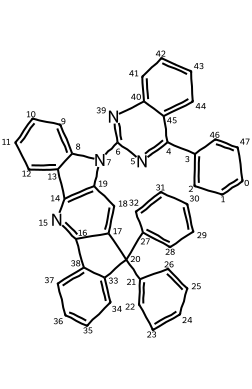 c1ccc(-c2nc(-n3c4ccccc4c4nc5c(cc43)C(c3ccccc3)(c3ccccc3)c3ccccc3-5)nc3ccccc23)cc1